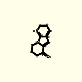 O=C1CCCn2c1cc1cccnc12